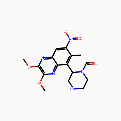 COc1nc2cc([N+](=O)[O-])c(C)c(C3CNCCN3C=O)c2nc1OC